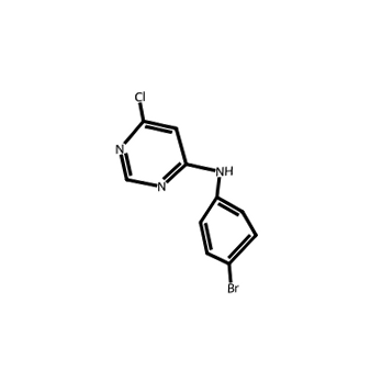 Clc1cc(Nc2ccc(Br)cc2)ncn1